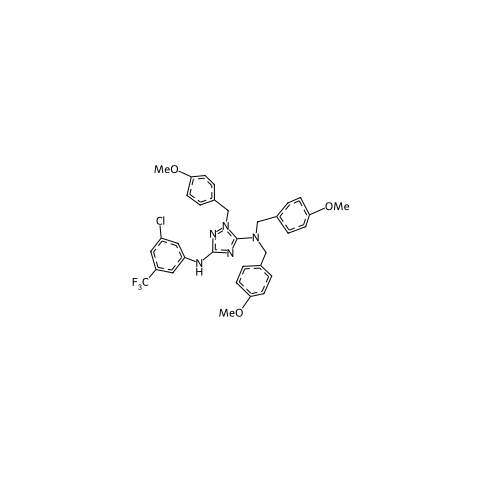 COc1ccc(CN(Cc2ccc(OC)cc2)c2nc(Nc3cc(Cl)cc(C(F)(F)F)c3)nn2Cc2ccc(OC)cc2)cc1